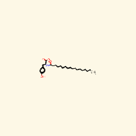 CCCCCCCCCCCCCCCCCC(=O)NC(Cc1ccc(O)cc1)C(=O)O